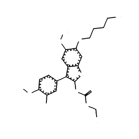 CCCCCOc1cc2[nH]c(OC(=O)OCC)c(-c3ccc(OC)c(F)c3)c2cc1OC